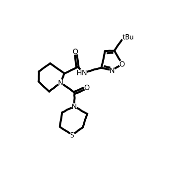 CC(C)(C)c1cc(NC(=O)C2CCCCN2C(=O)N2CCSCC2)no1